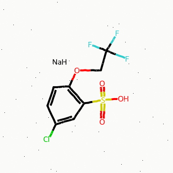 O=S(=O)(O)c1cc(Cl)ccc1OCC(F)(F)F.[NaH]